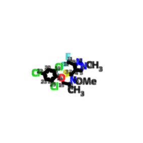 CON(C(=S)c1cn(C)nc1C(F)F)C(C)COc1c(Cl)cc(Cl)cc1Cl